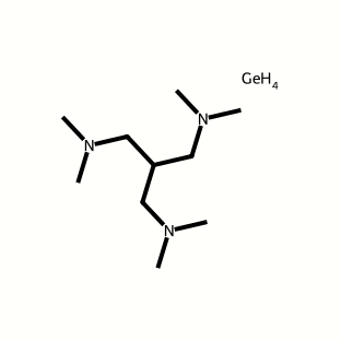 CN(C)C[C](CN(C)C)CN(C)C.[GeH4]